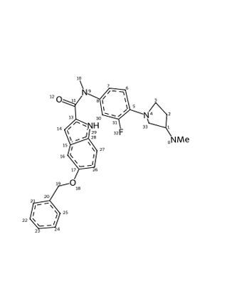 CNC1CCN(c2ccc(N(C)C(=O)c3cc4cc(OCc5ccccc5)ccc4[nH]3)cc2F)C1